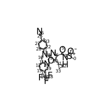 C[S+]([O-])NC(=O)c1nc(N(Cc2ccc(C(F)(F)F)cn2)c2ccc(C#N)cc2)oc1C1CC1